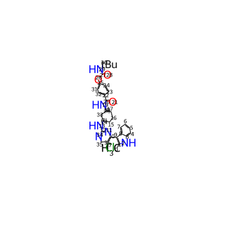 Cc1[nH]c2ccccc2c1-c1nc(N[C@@H]2CCC[C@H](NC(=O)c3ccc(OC(=O)NC(C)(C)C)cc3)C2)ncc1Cl